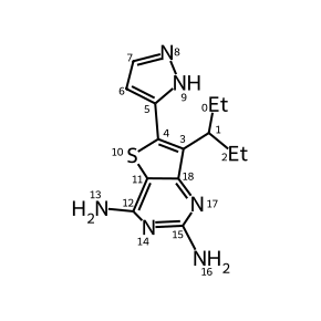 CCC(CC)c1c(-c2ccn[nH]2)sc2c(N)nc(N)nc12